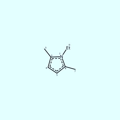 CCn1c(C)ccc1C